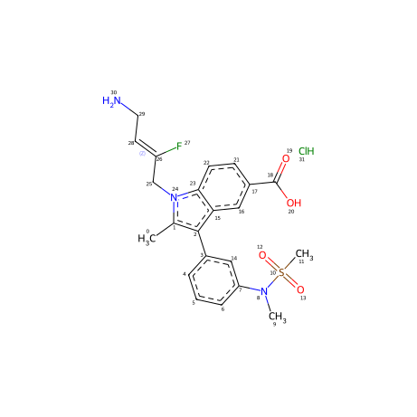 Cc1c(-c2cccc(N(C)S(C)(=O)=O)c2)c2cc(C(=O)O)ccc2n1C/C(F)=C/CN.Cl